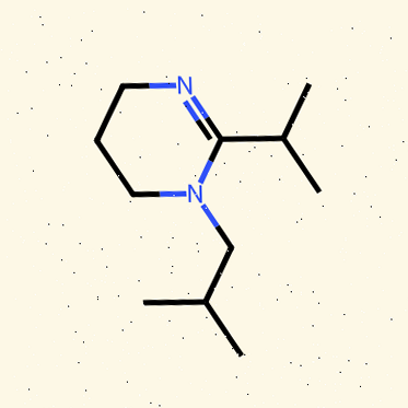 CC(C)CN1CCCN=C1C(C)C